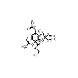 CCOC(=O)[C@]1(OC(C)=O)C=C[C@@H](NC(C)=O)[C@@H]2OC(CC)(CC)O[C@@H]21